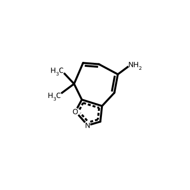 CC1(C)C=CC(N)=Cc2cnoc21